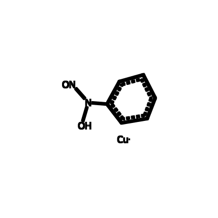 O=NN(O)c1ccccc1.[Cu]